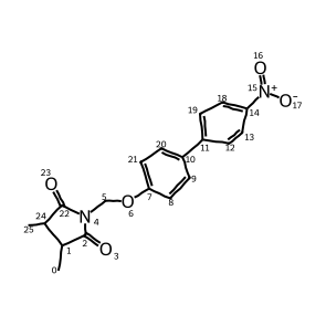 CC1C(=O)N(COc2ccc(-c3ccc([N+](=O)[O-])cc3)cc2)C(=O)C1C